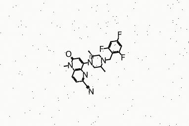 CC1CN(c2cc(=O)n(C)c3ccc(C#N)nc23)[C@@H](C)CN1Cc1c(F)cc(F)cc1F